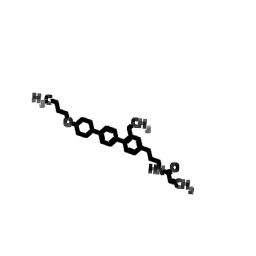 C=CC(=O)NCCCc1ccc(-c2ccc(C3CCC(OCCCC)CC3)cc2)c(CC)c1